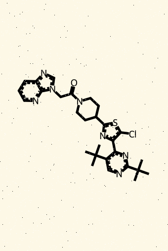 CC(C)(C)c1ncc(C(C)(C)C)c(-c2nc(C3CCN(C(=O)Cn4cnc5cccnc54)CC3)sc2Cl)n1